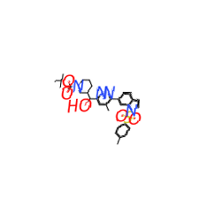 Cc1ccc(S(=O)(=O)n2ccc3ccc(-c4nnc(C(O)C5CCCN(C(=O)OC(C)(C)C)C5)cc4C)cc32)cc1